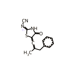 CC(=C=C1S/C(=N/C#N)NC1=O)Cc1ccccc1